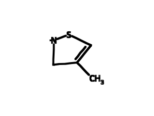 CC1=CS[N]C1